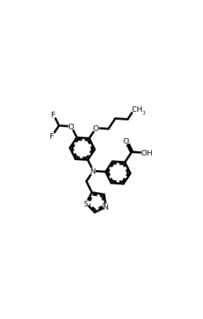 CCCCOc1cc(N(Cc2cncs2)c2cccc(C(=O)O)c2)ccc1OC(F)F